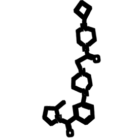 CC1CCCN1C(=O)c1cccc(N2CCN(CC(=O)N3CCN(C4CCC4)CC3)CC2)c1